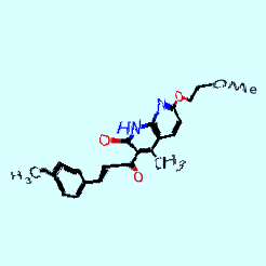 COCCOc1ccc2c(C)c(C(=O)C=Cc3ccc(C)cc3)c(=O)[nH]c2n1